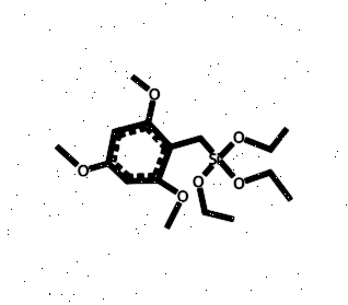 CCO[Si](Cc1c(OC)cc(OC)cc1OC)(OCC)OCC